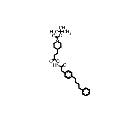 CC(C)(C)OC(=O)N1CCC(CCC(=O)ONC(=O)Cc2ccc(CCCCc3ccccc3)cc2)CC1